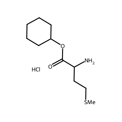 CSCCC(N)C(=O)OC1CCCCC1.Cl